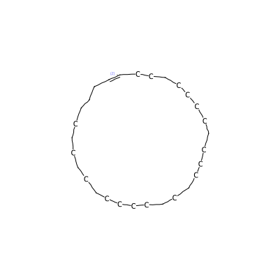 [C]1=C\CCCCCCCCCCCCCCCCCCCCCCCCCCC/1